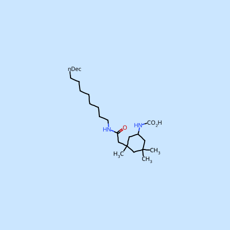 CCCCCCCCCCCCCCCCCCNC(=O)CC1(C)CC(NC(=O)O)CC(C)(C)C1